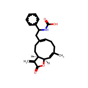 C=C1C(=O)O[C@@H]2C=C(C)CCC=C(CC(NC(=O)O)c3ccccc3)CC[C@H]12